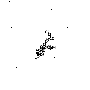 CC1(C)CCC(CN2CCN(c3ccc(C(=O)NS(=O)(=O)c4cc5c(c([N+](=O)[O-])c4)N[C@@H](COC4CC4)CO5)c(Oc4cnc5[nH]ccc5c4)c3)CC2)=C(c2ccc(Cl)cc2)C1